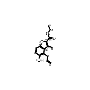 C=CCc1c(O)ccc2oc(C(=O)OCC)c(C)c12